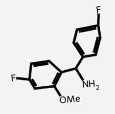 COc1cc(F)ccc1C(N)c1ccc(F)cc1